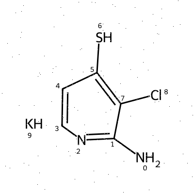 Nc1nccc(S)c1Cl.[KH]